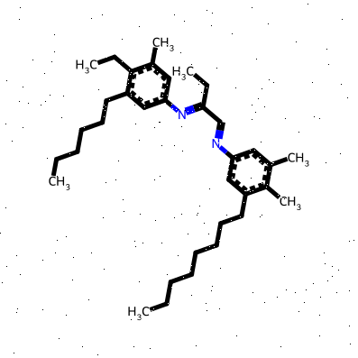 CCCCCCCCc1cc(N=CC(CC)=Nc2cc(C)c(CC)c(CCCCCC)c2)cc(C)c1C